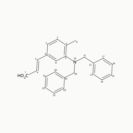 Cc1ccc(C=CC(=O)O)cc1N(Cc1ccccc1)Cc1ccccc1